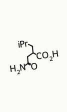 CC(C)CC(CC(N)=O)C(=O)O